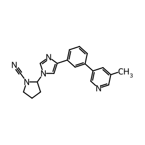 Cc1cncc(-c2cccc(-c3cn(C4CCCN4C#N)cn3)c2)c1